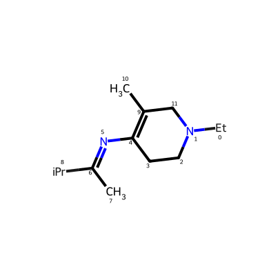 CCN1CCC(/N=C(\C)C(C)C)=C(C)C1